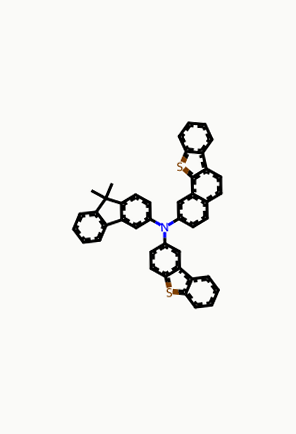 CC1(C)c2ccccc2-c2cc(N(c3ccc4sc5ccccc5c4c3)c3ccc4ccc5c6ccccc6sc5c4c3)ccc21